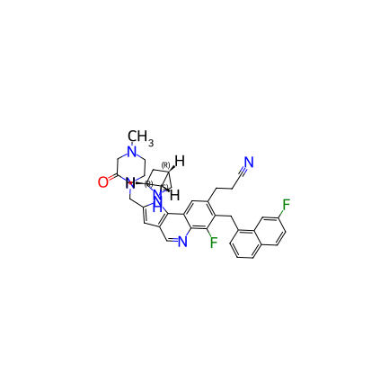 CN1CCN(Cc2cc3cnc4c(F)c(Cc5cccc6ccc(F)cc56)c(CCC#N)cc4c3n2[C@H]2[C@H]3CN[C@@H]2C3)C(=O)C1